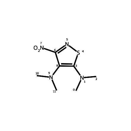 CN(C)c1snc([N+](=O)[O-])c1N(C)C